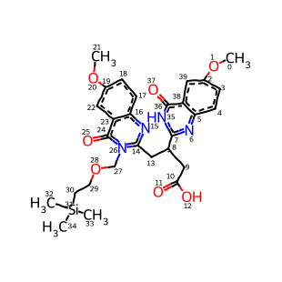 COc1ccc2nc([C](CC(=O)O)Cc3nc4ccc(OC)cc4c(=O)n3COCC[Si](C)(C)C)[nH]c(=O)c2c1